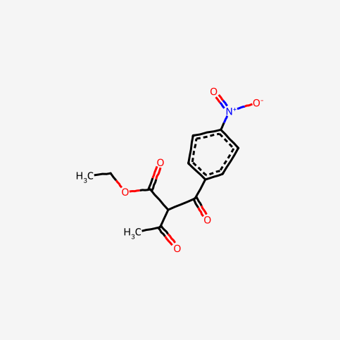 CCOC(=O)C(C(C)=O)C(=O)c1ccc([N+](=O)[O-])cc1